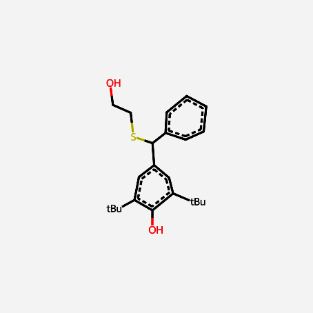 CC(C)(C)c1cc(C(SCCO)c2ccccc2)cc(C(C)(C)C)c1O